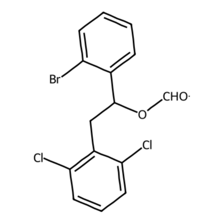 O=[C]OC(Cc1c(Cl)cccc1Cl)c1ccccc1Br